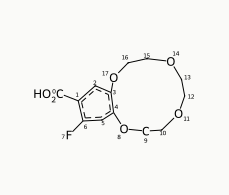 O=C(O)c1cc2c(cc1F)OCCOCCOCCO2